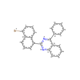 Brc1cccc2c(-c3nc(-c4ccccc4)c4ccccc4n3)cccc12